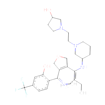 CC/C(C)=C(\NC1CCCN(CCN2CCC(O)C2)C1)C1=C(/C(=N\C)c2ccc(C(F)(F)F)cc2O)COC1